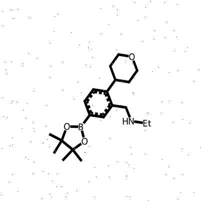 CCNCc1cc(B2OC(C)(C)C(C)(C)O2)ccc1C1CCOCC1